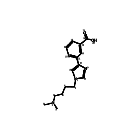 CN(C)CCCCn1cnc(-c2cc(C(=O)O)ccn2)c1